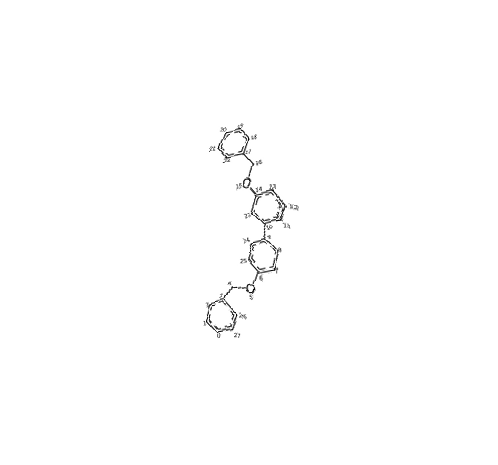 c1ccc(COc2ccc(-c3cccc(OCc4ccccc4)c3)cc2)cc1